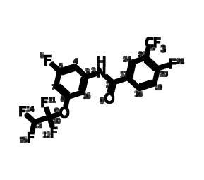 O=C(Nc1cc(F)cc(OC(F)(F)C(F)F)c1)c1ccc(F)c(C(F)(F)F)c1